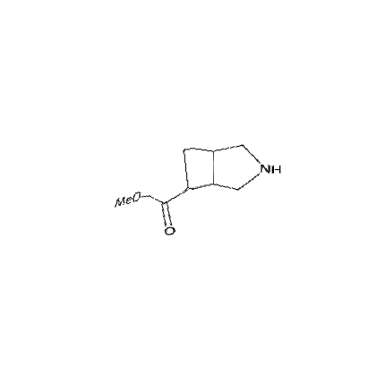 COC(=O)C1CC2CNCC21